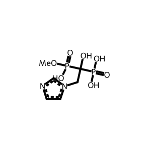 COP(=O)(O)C(O)(Cn1ccnc1)P(=O)(O)O